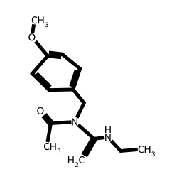 C=C(NCC)N(Cc1ccc(OC)cc1)C(C)=O